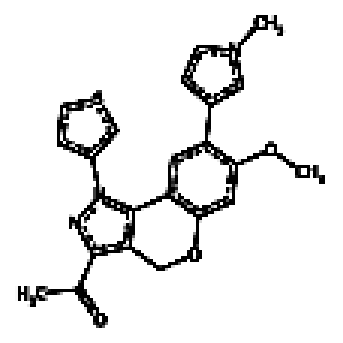 COc1cc2c(cc1-c1ccn(C)c1)-c1c(c(C(C)=O)nn1-c1ccsc1)CO2